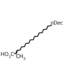 CCCCCCCCCCCCCCCCCCCCCCCCCC=C(C)C(=O)O